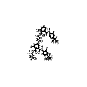 Cc1cc(C(F)(C(F)(F)F)C(F)(F)F)ccc1NC(=O)c1cccc(Cl)c1C(=O)N[C@@H](C)CS(C)(=O)=O.Cc1cc(C(F)(C(F)(F)F)C(F)(F)F)ccc1NC(=O)c1cccc(I)c1C(=O)N[C@@H](C)CS(C)(=O)=O